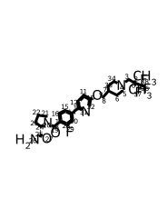 CC(C)(CN1CCC(COc2ccc(-c3ccc(C(=O)N4CCC[C@H]4C(N)=O)c(F)c3)nc2)CC1)C(F)(F)F